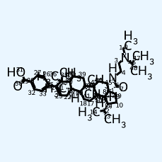 CCN(CCNC(=O)[C@]12CC[C@@H](C(C)C)[C@@H]1[C@H]1CC[C@@H]3[C@@]4(C)CC=C(c5ccc(C(=O)O)cc5)C(C)(C)[C@@H]4CC[C@@]3(C)[C@]1(C)CC2)C(C)C